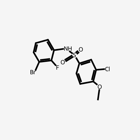 COc1ccc(S(=O)(=O)Nc2cccc(Br)c2F)cc1Cl